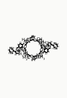 CC(C)C[C@H]1C(=O)O[C@H](Cc2ccc(Cn3nccc3-c3cnccn3)cc2)C(=O)N(C)[C@@H](CC(C)C)C(=O)O[C@H](C)C(=O)N(C)[C@@H](CC(C)C)C(=O)O[C@H](Cc2ccc(Cn3nccc3-c3cnccn3)cc2)C(=O)N(C)[C@@H](CC(C)C)C(=O)O[C@H](C)C(=O)N1C